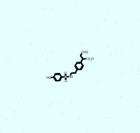 O=CCC(C(=O)O)c1ccc(CCNS(=O)(=O)c2ccc(O)cc2)cc1